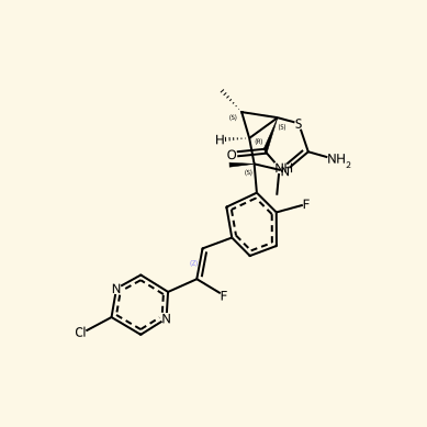 CNC(=O)[C@@]12SC(N)=N[C@](C)(c3cc(/C=C(\F)c4cnc(Cl)cn4)ccc3F)[C@H]1[C@@H]2C